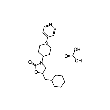 O=C(O)O.O=C1OC(CC2CCCCC2)CN1C1CCN(c2ccncc2)CC1